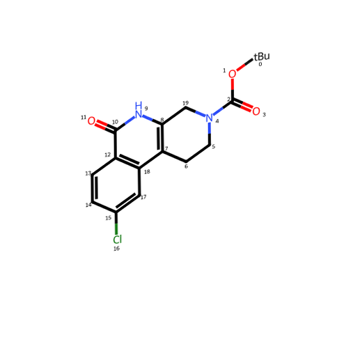 CC(C)(C)OC(=O)N1CCc2c([nH]c(=O)c3ccc(Cl)cc23)C1